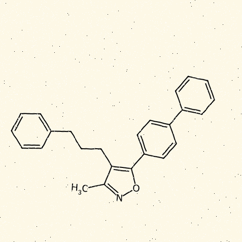 Cc1noc(-c2ccc(-c3ccccc3)cc2)c1CCCc1ccccc1